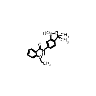 CCOc1ccccc1C(=O)Nc1ccc2c(c1)B(O)OC2(C)C